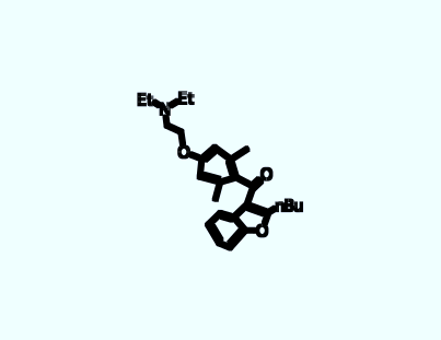 CCCCc1oc2ccccc2c1C(=O)c1c(C)cc(OCCN(CC)CC)cc1C